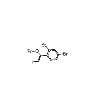 CCc1cc(Br)ccc1C(=CI)OC(C)C